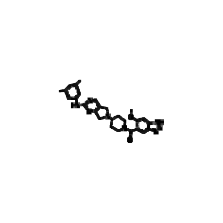 COc1cc2[nH]nnc2cc1C(=O)N1CCC(N2Cc3cnc(Nc4cc(C)cc(C)c4)nc3C2)CC1